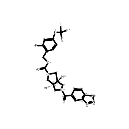 O=C(OCc1ccc(OC(F)(F)F)cc1F)N1C[C@@H]2CN(C(=O)c3ccc4[nH]nnc4c3)C[C@H]2C1